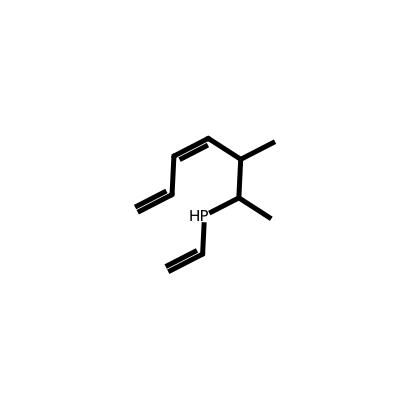 C=C/C=C\C(C)C(C)PC=C